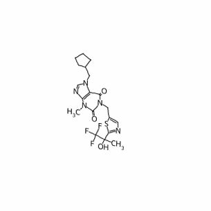 Cn1c(=O)n(Cc2cnc(C(C)(O)C(F)(F)F)s2)c(=O)c2c1ncn2CC1CCCC1